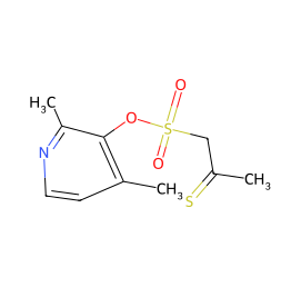 CC(=S)CS(=O)(=O)Oc1c(C)ccnc1C